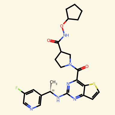 C[C@H](Nc1nc(C(=O)N2CCC(C(=O)NOC3CCCC3)C2)c2sccc2n1)c1cncc(F)c1